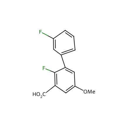 COc1cc(C(=O)O)c(F)c(-c2cccc(F)c2)c1